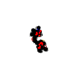 c1ccc(-n2c3ccccc3c3ccc(-c4ccccc4-c4c5ccccc5c(-c5cc6oc7ccc(-c8ccc(-c9c%10ccccc%10c(-c%10cc%11oc%12ccccc%12c%11cc%10-c%10cccc%11ccccc%10%11)c%10ccccc9%10)c(-c9ccc%10sc%11ccccc%11c%10c9)c8)cc7c6cc5-c5ccc6ccccc6c5)c5ccccc45)cc32)cc1